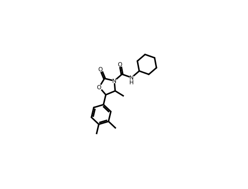 Cc1ccc(C2OC(=O)N(C(=O)NC3CCCCC3)C2C)cc1C